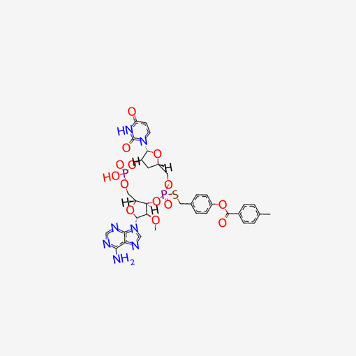 CO[C@@H]1[C@@H]2O[P@](=O)(SCc3ccc(OC(=O)c4ccc(C)cc4)cc3)OC[C@@H]3C[C@@H](OP(=O)(O)OC[C@H]2O[C@H]1n1cnc2c(N)ncnc21)[C@H](n1ccc(=O)[nH]c1=O)O3